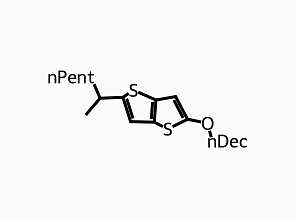 CC[CH]CCC(C)c1cc2sc(OCCCCCCCCCC)cc2s1